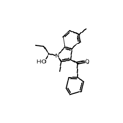 CCC(O)n1c(C)c(C(=O)c2ccccc2)c2cc(C)ccc21